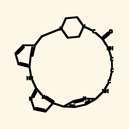 O=C1CN2CCN(CC2)Cc2cccc(c2)Nc2nccc(n2)-c2ccc(nc2)NCCCN1